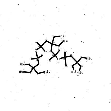 CC(C)(C)CC(CC(C)(C)C)(CC(C)(C)C)CC(C)(C)OC(C)(C)CC(CC(C)(C)C)(CC(C)(C)C)CC(C)(C)OC(C)(C)CC(CC(C)(C)C)(CC(C)(C)C)CC(C)(C)C